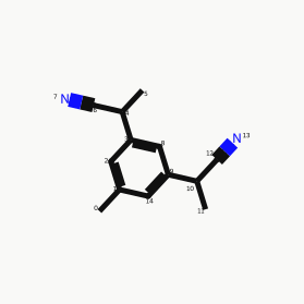 Cc1cc(C(C)C#N)cc(C(C)C#N)c1